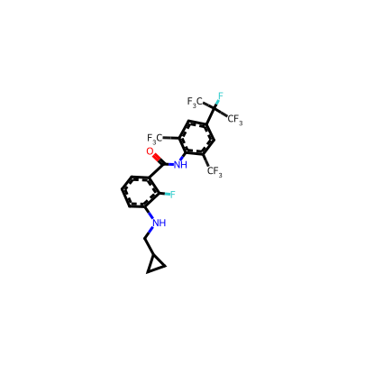 O=C(Nc1c(C(F)(F)F)cc(C(F)(C(F)(F)F)C(F)(F)F)cc1C(F)(F)F)c1cccc(NCC2CC2)c1F